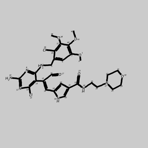 COc1cc(CNc2nc(N)nc(Cl)c2/C(C=O)=C/c2cc(C(=O)NCCN3CCOCC3)c[nH]2)c(Cl)c(OC)c1OC